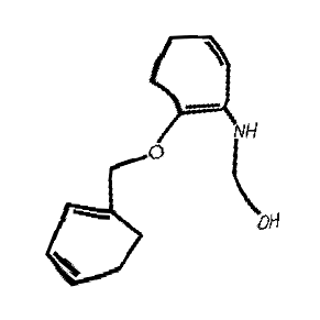 OCNC1=C(OCC2=CC=CCC2)CCC=C1